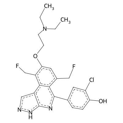 CCN(CC)CCOc1cc(CF)c2c(-c3ccc(O)c(Cl)c3)nc3[nH]ncc3c2c1CF